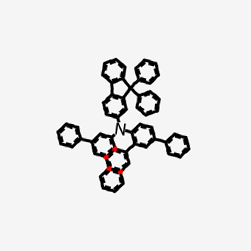 c1ccc(-c2cc(-c3ccccc3)cc(N(c3ccc4c(c3)C(c3ccccc3)(c3ccccc3)c3ccccc3-4)c3ccc(-c4ccccc4)cc3-c3ccccc3)c2)cc1